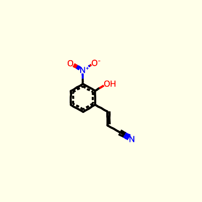 N#CC=Cc1cccc([N+](=O)[O-])c1O